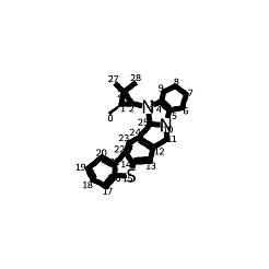 C[C@@H]1C(N2C3=C(CCCC3)N3Cc4cc5sc6ccccc6c5cc4C32)C1(C)C